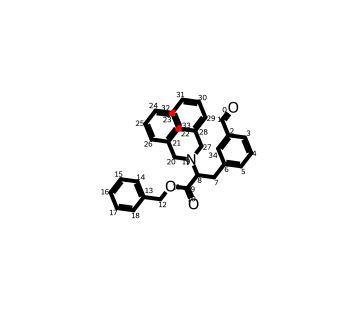 O=Cc1cccc(CC(C(=O)OCc2ccccc2)N(Cc2ccccc2)Cc2ccccc2)c1